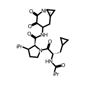 CC(C)C(=O)N[C@@H](CC1CC1)C(=O)N1CCC(C(C)C)[C@H]1C(=O)NC(CC1CC1)C(=O)C(N)=O